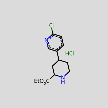 CCOC(=O)C1CC(c2ccc(Cl)nc2)CCN1.Cl